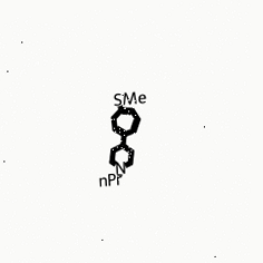 CCCN1CCC(C2=CCC(SC)=CC=C2)CC1